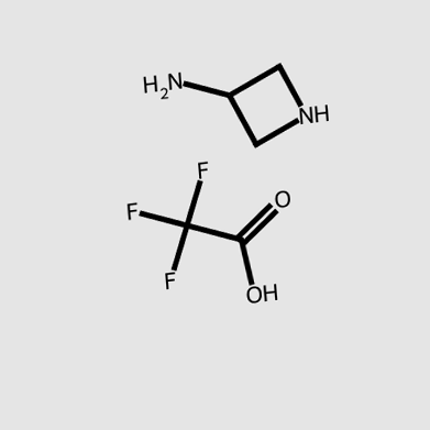 NC1CNC1.O=C(O)C(F)(F)F